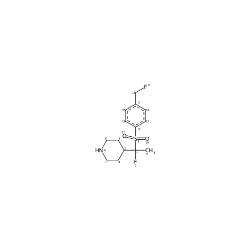 CC(F)(C1CCNCC1)S(=O)(=O)c1ccc(CF)cc1